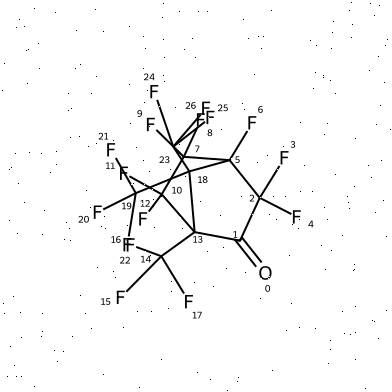 O=C1C(F)(F)C2(F)C(F)(F)C(F)(F)C1(C(F)(F)F)C2(C(F)(F)F)C(F)(F)F